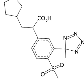 CC1(c2cc(C(CC3CCCC3)C(=O)O)ccc2S(C)(=O)=O)N=NN=N1